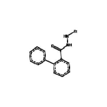 CCNNC(=O)c1ccccc1-c1ccccc1